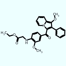 CCOC(=O)CNc1ccc(C(=O)c2c(-c3ccccc3)c(OC)c3ccccn23)cc1OC